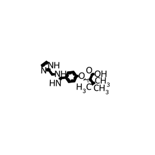 CC(C)(C)[C@H](COc1ccc(C(=N)NCc2ncc[nH]2)cc1)C(=O)O